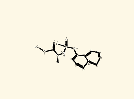 CCCCOC(=O)[C@H](C)NP(=O)(Cl)Oc1cccc2ccccc12